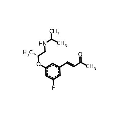 CC(=O)/C=C/c1cc(F)cc(O[C@H](C)CNC(C)C)c1